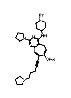 COC1=CCc2c(nc(N3CCCC3)nc2NC2CCN(C(C)C)CC2)C=C1C#CCCCN1CCCC1